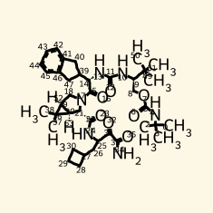 CC(C)(C)NC(=O)OC[C@@H](NC(=O)N[C@H](C(=O)N1C[C@H]2[C@@H]([C@H]1C(=O)NC(CC1CCC1)C(=O)C(N)=O)C2(C)C)C1Cc2ccccc2C1)C(C)(C)C